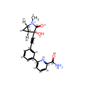 CN1C(=O)[C@](O)(C#Cc2cccc(-c3cccc(C(N)=O)n3)c2)[C@@H]2C[C@@H]21